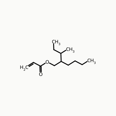 C=CC(=O)OCC(CCCC)C(C)CC